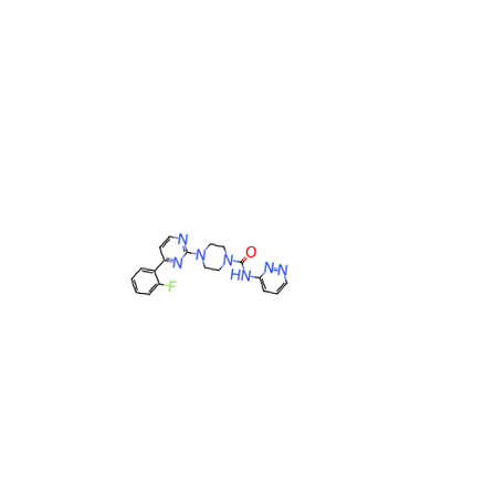 O=C(Nc1cccnn1)N1CCN(c2nccc(-c3ccccc3F)n2)CC1